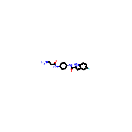 NCCC(=O)N[C@H]1CC[C@H](NC(=O)c2cc3cc(F)ccc3[nH]2)CC1